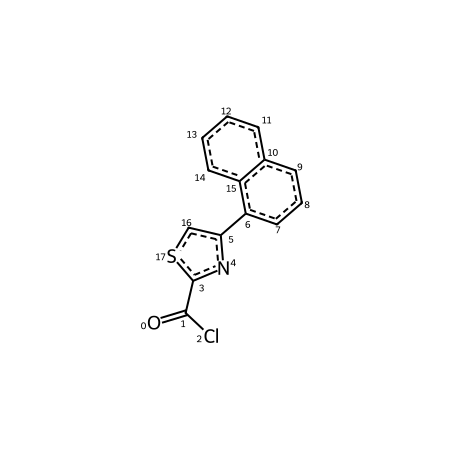 O=C(Cl)c1nc(-c2cccc3ccccc23)cs1